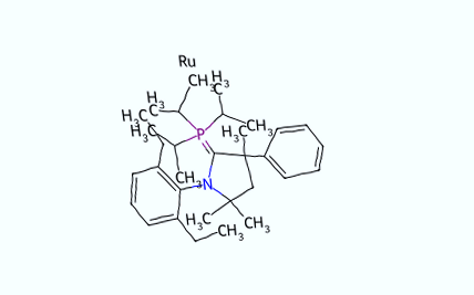 CCc1cccc(CC)c1N1C(=P(C(C)C)(C(C)C)C(C)C)C(C)(c2ccccc2)CC1(C)C.[Ru]